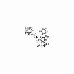 CNC(=O)c1cc(C(=O)NCCCC2CCNCC2(F)F)cc([C@@H](C)c2ccccc2)n1